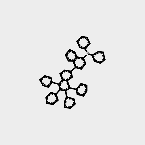 c1ccc(-c2c(-c3ccccc3)c(-c3ccccc3)c3cc(-c4ccc(N(c5ccccc5)c5ccccc5)c5ccccc45)ccc3c2-c2ccccc2)cc1